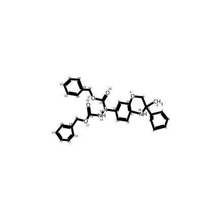 CC1(c2ccccc2)COc2cc(N(NC(=O)OCc3ccccc3)C(=O)OCc3ccccc3)ccc2N1